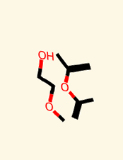 C=C(C)OC(=C)C.COCCO